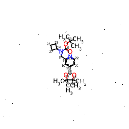 CC(C)(C)OC(=O)N(Cc1cc(B2OC(C)(C)C(C)(C)O2)ccn1)C1CCC1